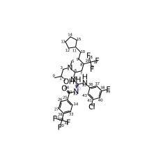 CC(O)CN(C)C(CC(CCC1CCCC1)C(F)(F)F)N/C(=N\C(=O)c1ccc(C(F)(F)F)cc1)Nc1cc(F)cc(Cl)c1